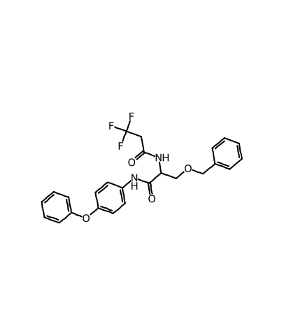 O=C(CC(F)(F)F)NC(COCc1ccccc1)C(=O)Nc1ccc(Oc2ccccc2)cc1